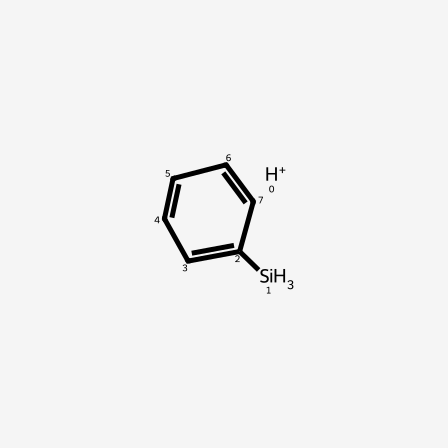 [H+].[SiH3]c1ccccc1